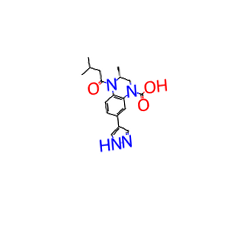 CC(C)CC(=O)N1c2ccc(-c3cn[nH]c3)cc2N(C(=O)O)C[C@@H]1C